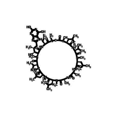 CC[C@@H]1NC(=O)[C@H]([C@H](O)[C@H](C)Cc2nc3nc(O)nc(O)c3[nH]2)N(C)C(=O)[C@H](C(C)C)N(C)C(=O)[C@H](CC(C)C)N(C)C(=O)[C@H](CC(C)C)N(C)C(=O)[C@@H](C)NC(=O)[C@H](C)NC(=O)[C@H](CC(C)C)N(C)C(=O)[C@H](C(C)C)NC(=O)[C@H](CC(C)C)N(C)C(=O)CN(C)C1=O